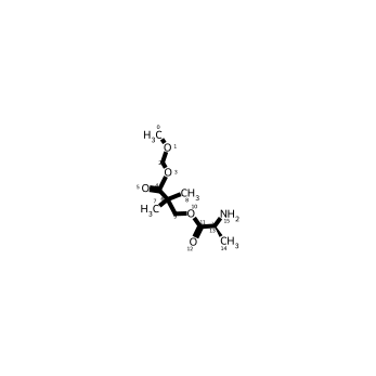 COCOC(=O)C(C)(C)COC(=O)[C@H](C)N